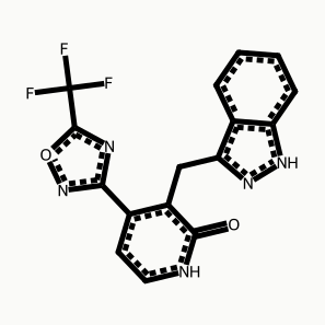 O=c1[nH]ccc(-c2noc(C(F)(F)F)n2)c1Cc1n[nH]c2ccccc12